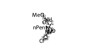 CCCCCn1c(-c2cccc(C(=O)NCCOC)c2)cc(=O)n2cc(-c3ccc(Cl)cc3)nc12